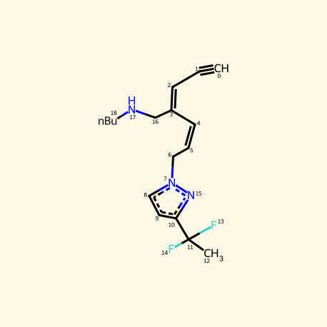 C#C/C=C(\C=C/Cn1ccc(C(C)(F)F)n1)CNCCCC